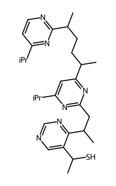 CC(C)c1cc(C(C)CCC(C)c2nccc(C(C)C)n2)nc(CC(C)c2ncncc2C(C)S)n1